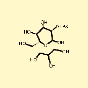 CC(=O)N[C@H]1C(O)O[C@H](CO)[C@@H](O)[C@@H]1O.OCC(O)CO